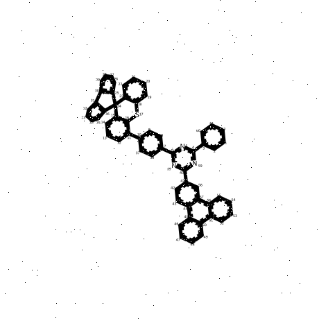 c1ccc(-c2nc(-c3ccc(-c4cccc5c4Sc4ccccc4C54c5ccccc5-c5ccccc54)cc3)nc(-c3ccc4c5ccccc5c5ccccc5c4c3)n2)cc1